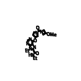 CCNC(=O)c1nc2c(O[C@H]3CCN(C(=O)N4CC(OC)C4)C3)ncnc2n1CC